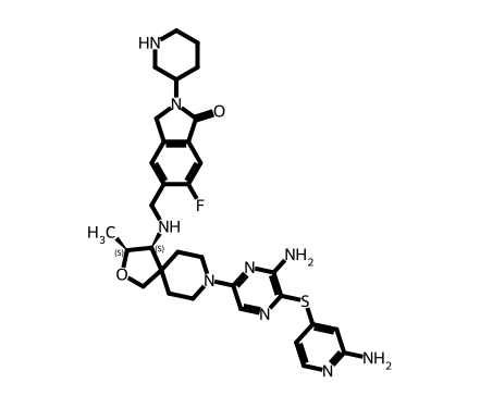 C[C@@H]1OCC2(CCN(c3cnc(Sc4ccnc(N)c4)c(N)n3)CC2)[C@@H]1NCc1cc2c(cc1F)C(=O)N(C1CCCNC1)C2